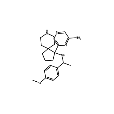 COc1ccc(C(C)NC2(c3nncc(N)n3)CCCC23CCNCC3)cc1